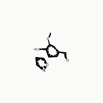 COc1cc(C=O)ccc1O.c1cnoc1